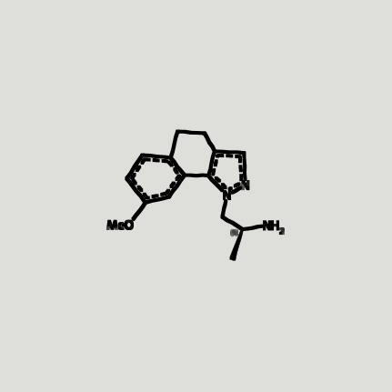 COc1ccc2c(c1)-c1c(cnn1C[C@H](C)N)CC2